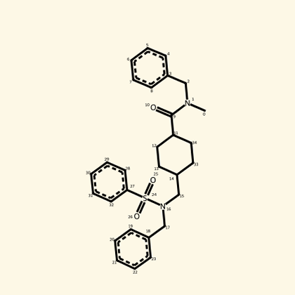 CN(Cc1ccccc1)C(=O)C1CCC(CN(Cc2ccccc2)S(=O)(=O)c2ccccc2)CC1